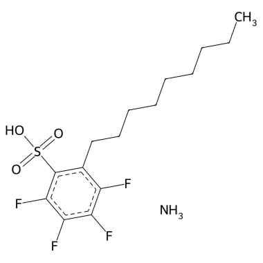 CCCCCCCCCc1c(F)c(F)c(F)c(F)c1S(=O)(=O)O.N